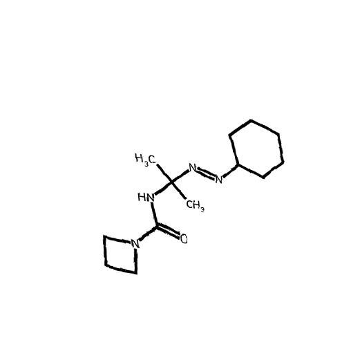 CC(C)(N=NC1CCCCC1)NC(=O)N1CCC1